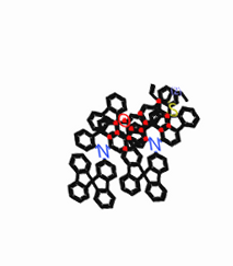 C=Cc1c(/C=C\C)sc2ccc(-c3ccccc3N(c3ccc4c(c3)C3(c5ccccc5-c5ccccc53)c3ccccc3-4)c3ccc4c(c3)C3(c5ccccc5-c5ccc(-c6cccc7c6oc6ccc(-c8ccccc8N(c8ccc9c(c8)C8(c%10ccccc%10-c%10ccccc%108)c8ccccc8-9)c8ccc9c(c8)C8(c%10ccccc%10-c%10ccccc%108)c8ccccc8-9)cc67)cc53)c3ccccc3-4)cc12